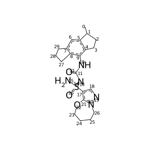 CC1CCc2c1cc1c(c2NC(=O)N=S(N)(=O)c2cnn3c2OCCCC3)CCC1